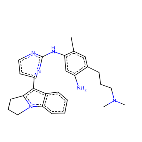 Cc1cc(CCCN(C)C)c(N)cc1Nc1nccc(-c2c3n(c4ccccc24)CCC3)n1